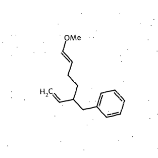 C=CC(CCC=COC)Cc1ccccc1